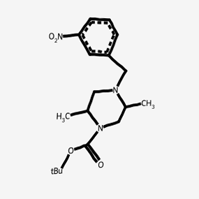 CC1CN(C(=O)OC(C)(C)C)C(C)CN1Cc1cccc([N+](=O)[O-])c1